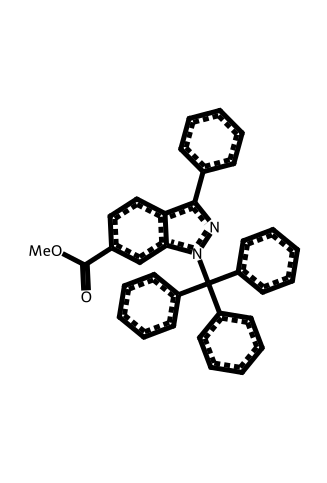 COC(=O)c1ccc2c(-c3ccccc3)nn(C(c3ccccc3)(c3ccccc3)c3ccccc3)c2c1